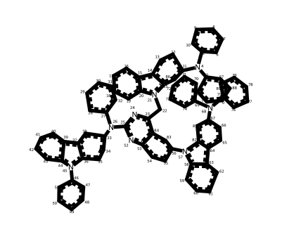 c1ccc(N(c2ccccc2)c2ccc3c4ccccc4n(Cc4nc(N(c5ccccc5)c5ccc6c(c5)c5ccccc5n6-c5ccccc5)nc5ccc(-n6c7ccccc7c7ccc(N(c8ccccc8)c8ccccc8)cc76)cc45)c3c2)cc1